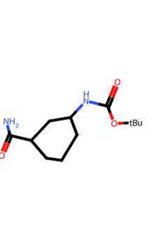 CC(C)(C)OC(=O)NC1[CH]CCC(C(N)=O)C1